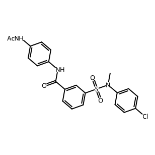 CC(=O)Nc1ccc(NC(=O)c2cccc(S(=O)(=O)N(C)c3ccc(Cl)cc3)c2)cc1